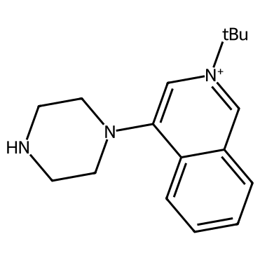 CC(C)(C)[n+]1cc(N2CCNCC2)c2ccccc2c1